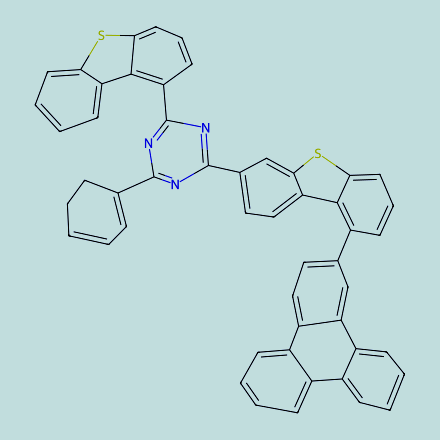 C1=CCCC(c2nc(-c3ccc4c(c3)sc3cccc(-c5ccc6c7ccccc7c7ccccc7c6c5)c34)nc(-c3cccc4sc5ccccc5c34)n2)=C1